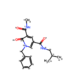 CNC(=O)c1cc(C(=O)NCC(C)C)cn(Cc2ccccc2)c1=O